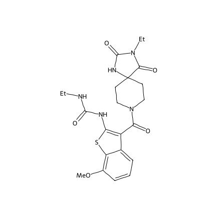 CCNC(=O)Nc1sc2c(OC)cccc2c1C(=O)N1CCC2(CC1)NC(=O)N(CC)C2=O